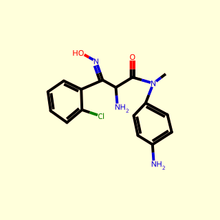 CN(C(=O)C(N)/C(=N/O)c1ccccc1Cl)c1ccc(N)cc1